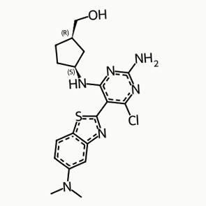 CN(C)c1ccc2sc(-c3c(Cl)nc(N)nc3N[C@H]3CC[C@@H](CO)C3)nc2c1